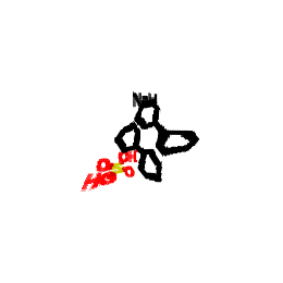 O=S(=O)(O)O.[NaH].c1ccc(-c2ccccc2)cc1.c1ccc(-c2ccccc2)cc1